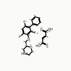 Fc1cc(F)c(-c2ccccc2)c(F)c1OC[C@@H]1CNCCO1.O=C(O)/C=C/C(=O)O